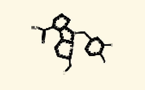 CCc1c[c]c2c3c(C(N)=O)cccc3n(Cc3ccc(F)c(F)c3)c2c1